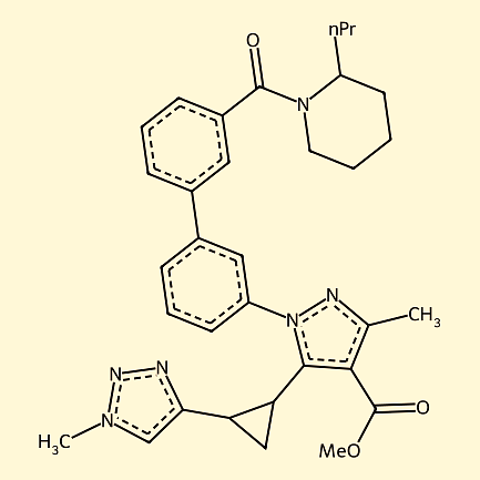 CCCC1CCCCN1C(=O)c1cccc(-c2cccc(-n3nc(C)c(C(=O)OC)c3C3CC3c3cn(C)nn3)c2)c1